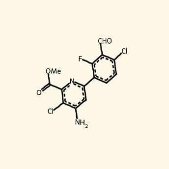 COC(=O)c1nc(-c2ccc(Cl)c(C=O)c2F)cc(N)c1Cl